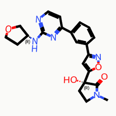 CN1CC[C@@](O)(c2cc(-c3cccc(-c4ccnc(N[C@@H]5CCOC5)n4)c3)no2)C1=O